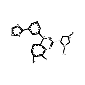 CC(=O)N1C[C@H](F)C[C@H]1C(=O)N[C@@H](c1cccc(-c2nnco2)c1)c1ccc(C(C)C)c(F)n1